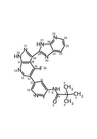 CC(C)(C)C(=O)Nc1cncc(-c2cnc3[nH]nc(-c4nc5cccnc5[nH]4)c3c2F)c1